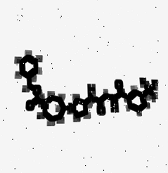 O=C(CNC(=O)c1cccc(C(F)(F)F)c1)NC1CCN([C@H]2CCCN(C(=O)OCc3ccccc3)CC2)C1